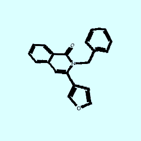 O=c1c2ccccc2cc(-c2ccoc2)n1Cc1ccccc1